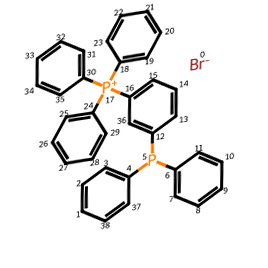 [Br-].c1ccc(P(c2ccccc2)c2cccc([P+](c3ccccc3)(c3ccccc3)c3ccccc3)c2)cc1